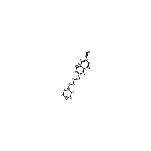 C#Cc1ccc2cc(OCCCN3CCOCC3)ccc2c1